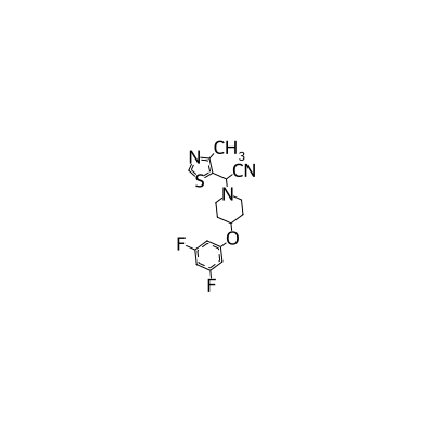 Cc1ncsc1C(C#N)N1CCC(Oc2cc(F)cc(F)c2)CC1